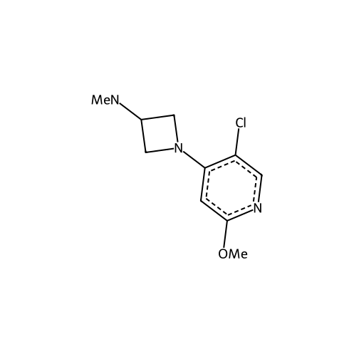 CNC1CN(c2cc(OC)ncc2Cl)C1